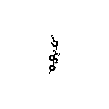 N#Cc1ccc(CNC(=O)c2cccc3c2cnn3-c2ccc(F)cc2)cn1